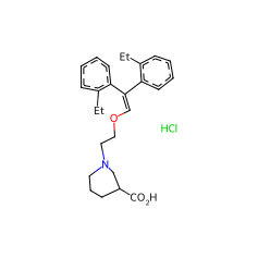 CCc1ccccc1C(=COCCN1CCCC(C(=O)O)C1)c1ccccc1CC.Cl